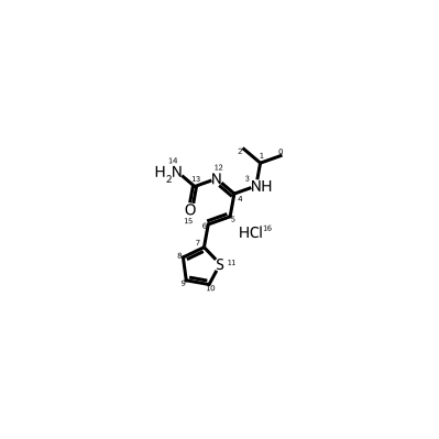 CC(C)NC(C=Cc1cccs1)=NC(N)=O.Cl